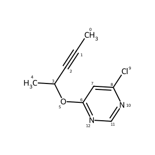 CC#CC(C)Oc1cc(Cl)ncn1